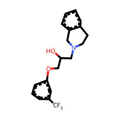 OC(COc1cccc(C(F)(F)F)c1)CN1CCc2ccccc2C1